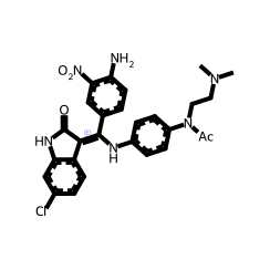 CC(=O)N(CCN(C)C)c1ccc(N/C(=C2/C(=O)Nc3cc(Cl)ccc32)c2ccc(N)c([N+](=O)[O-])c2)cc1